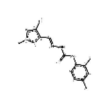 Cc1ccc(NC(=O)NN=Cc2nn(C)cc2Cl)c(C)c1